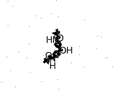 CC1(C)C[C@H]1C(=O)Nc1ccc(C(O)c2ccc(NC(=O)[C@@H]3CC3(C)C)cc2)cc1